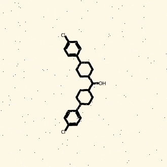 OC(C1CCC(c2ccc(Cl)cc2)CC1)C1CCC(c2ccc(Cl)cc2)CC1